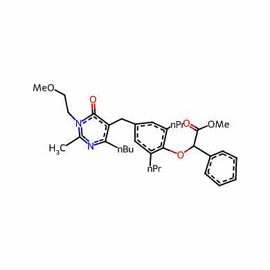 CCCCc1nc(C)n(CCOC)c(=O)c1Cc1cc(CCC)c(OC(C(=O)OC)c2ccccc2)c(CCC)c1